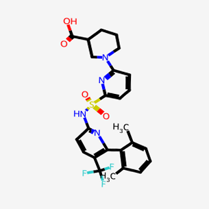 Cc1cccc(C)c1-c1nc(NS(=O)(=O)c2cccc(N3CCCC(C(=O)O)C3)n2)ccc1C(F)(F)F